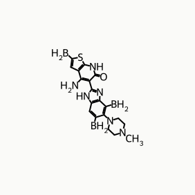 Bc1cc2c(N)c(-c3nc4c(B)c(N5CCN(C)CC5)c(B)cc4[nH]3)c(=O)[nH]c2s1